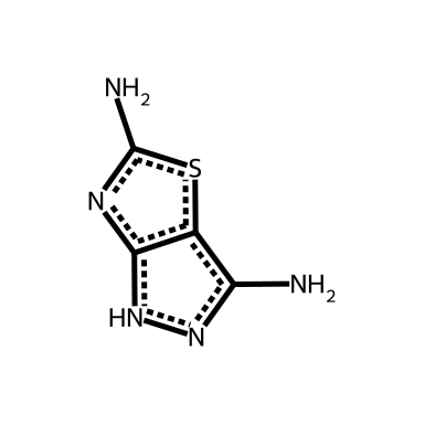 Nc1nc2[nH]nc(N)c2s1